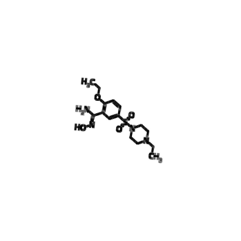 CCOc1ccc(S(=O)(=O)N2CCN(CC)CC2)cc1/C(N)=N/O